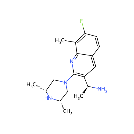 Cc1c(F)ccc2cc([C@H](C)N)c(N3C[C@@H](C)N[C@@H](C)C3)nc12